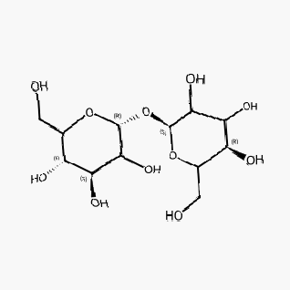 OCC1O[C@@H](O[C@H]2OC(CO)[C@@H](O)[C@H](O)C2O)C(O)C(O)[C@H]1O